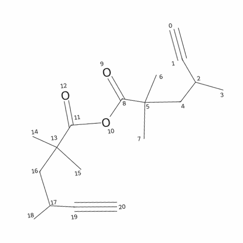 C#CC(C)CC(C)(C)C(=O)OC(=O)C(C)(C)CC(C)C#C